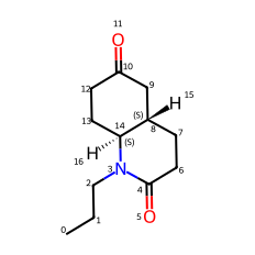 CCCN1C(=O)CC[C@H]2CC(=O)CC[C@@H]21